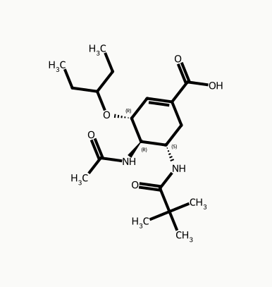 CCC(CC)O[C@@H]1C=C(C(=O)O)C[C@H](NC(=O)C(C)(C)C)[C@H]1NC(C)=O